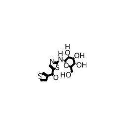 O=C(c1ccsc1)c1cnc(N[C@H]2OC(CO)[C@@H](O)C(O)[C@H]2O)s1